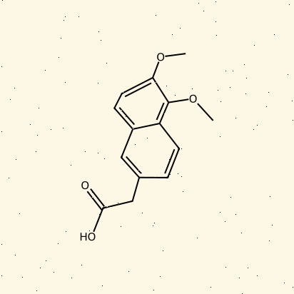 COc1ccc2cc(CC(=O)O)ccc2c1OC